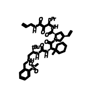 C=CCNC(=O)C(=O)C(CCC)NC(=O)[C@@H]1C[C@@H](C=C)CN1C(=O)[C@@H](NC(=O)N[C@H](CNCc1ccccc1S(C)(=O)=O)C(C)(C)C)C1(C)CCCCC1